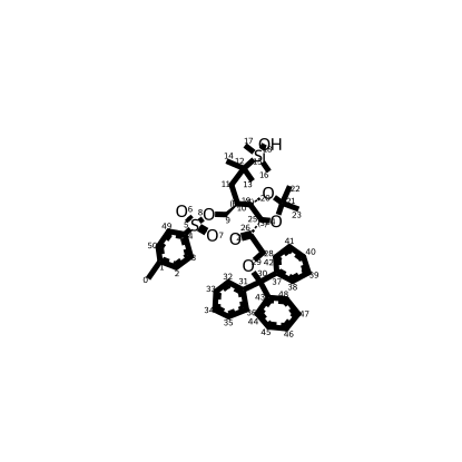 Cc1ccc(S(=O)(=O)OC[C@@H](CC(C)(C)[Si](C)(C)O)[C@@H]2OC(C)(C)O[C@@H]2C(=O)COC(c2ccccc2)(c2ccccc2)c2ccccc2)cc1